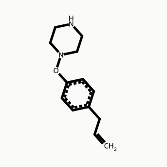 C=CCc1ccc(ON2CCNCC2)cc1